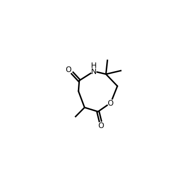 CC1CC(=O)NC(C)(C)COC1=O